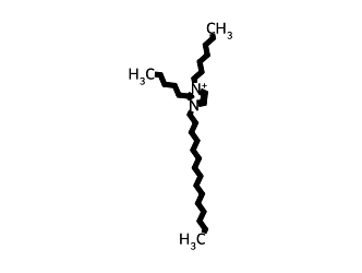 CCCCCCCCCCCCCCCn1cc[n+](CCCCCCC)c1CCCCC